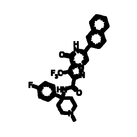 CN1CCC(NC(=O)c2nn3cc(-c4ccc5ccccc5c4)[nH]c(=O)c3c2C(F)(F)F)(c2ccc(F)cc2)CC1